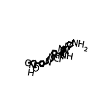 CC1(N)CCN(c2cnc3c(-c4cccc(N5CCN(Cc6ccc(C7CCC(=O)NC7=O)cc6)CC5)c4Cl)n[nH]c3n2)CC1